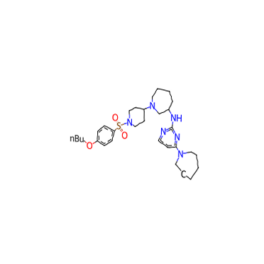 CCCCOc1ccc(S(=O)(=O)N2CCC(N3CCCCC(Nc4nccc(N5CCCCCC5)n4)C3)CC2)cc1